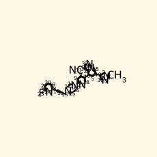 Cn1cc(-c2cc(-c3ccc(N4CCN(CC#Cc5cccc(F)n5)CC4)nc3)c3c(C#N)cnn3c2)cn1